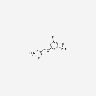 NCC(=CF)COc1cc(F)cc(C(F)(F)F)c1